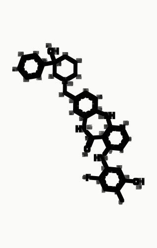 Cc1cc(F)c(Nc2ccnc3c2C(=O)Nc2cc(CN4CCCC(O)(c5ccccc5)C4)ccc2N3)cc1O